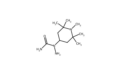 CN1C(C)(C)CC(N(N)C(N)=O)CC1(C)C